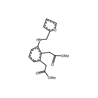 COC(=O)Cc1cccc(NCc2ccco2)c1CC(=O)OC